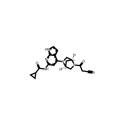 N#CCC(=O)N1C[C@@H]2C[C@H]1CN2c1cc(NC(=O)C2CC2)nc2[nH]ccc12